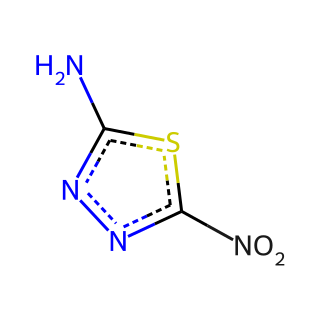 Nc1nnc([N+](=O)[O-])s1